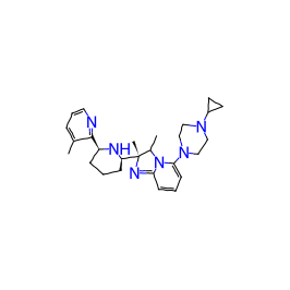 Cc1cccnc1[C@@H]1CCC[C@H]([C@@]2(C)N=C3C=CC=C(N4CCN(C5CC5)CC4)N3C2C)N1